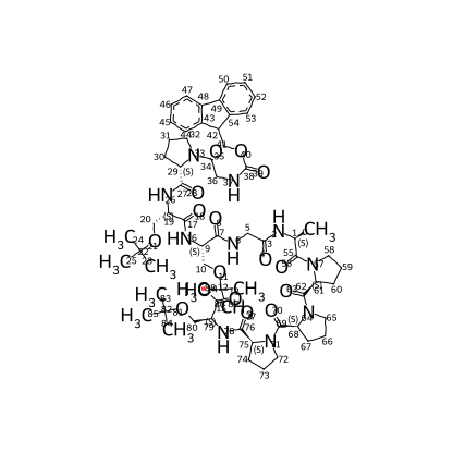 C[C@H](NC(=O)CNC(=O)[C@H](COC(C)(C)C)NC(=O)[C@H](COC(C)(C)C)NC(=O)[C@@H]1CCCN1C(=O)CNC(=O)OCC1c2ccccc2-c2ccccc21)C(=O)N1CCC[C@H]1C(=O)N1CCC[C@H]1C(=O)N1CCC[C@H]1C(=O)N[C@@H](COC(C)(C)C)C(=O)O